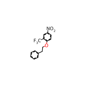 O=[N+]([O-])c1ccc(OCCc2ccccc2)c(C(F)(F)F)c1